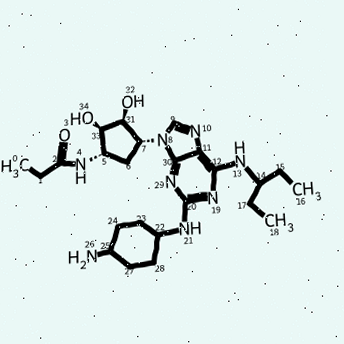 CCC(=O)N[C@H]1C[C@@H](n2cnc3c(NC(CC)CC)nc(NC4CCC(N)CC4)nc32)[C@H](O)[C@@H]1O